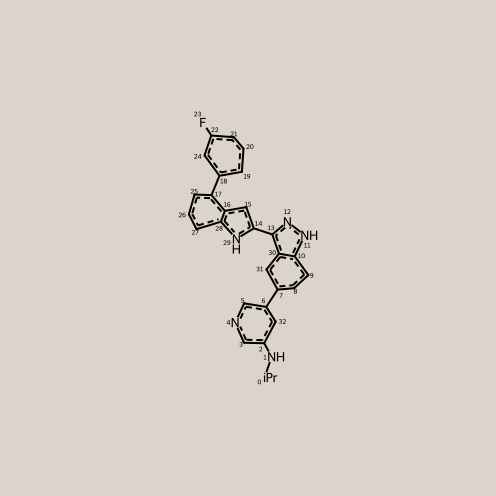 CC(C)Nc1cncc(-c2ccc3[nH]nc(-c4cc5c(-c6cccc(F)c6)cccc5[nH]4)c3c2)c1